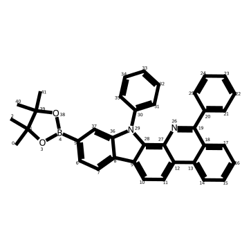 CC1(C)OB(c2ccc3c4ccc5c6ccccc6c(-c6ccccc6)nc5c4n(-c4ccccc4)c3c2)OC1(C)C